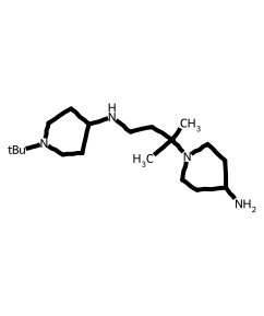 CC(C)(C)N1CCC(NCCC(C)(C)N2CCC(N)CC2)CC1